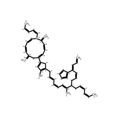 C=C/C=C(\C=C/CC(C/C=C\C=C/C)/C(C)=C/C=C\C=C\CC1=C(S)C=C(/C2=C/C=C\C(=C)N(/C=C\C=C/C)/C=C\C=C/C(=C)C2)C1)C1=C=CC=C1